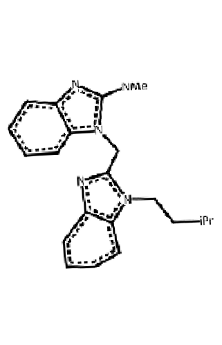 CNc1nc2ccccc2n1Cc1nc2ccccc2n1CCC(C)C